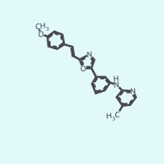 COc1ccc(/C=C/c2ncc(-c3cccc(Nc4cc(C)ccn4)c3)o2)cc1